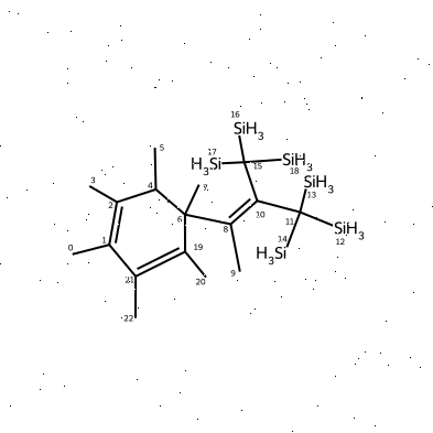 CC1=C(C)C(C)C(C)(C(C)=C(C([SiH3])([SiH3])[SiH3])C([SiH3])([SiH3])[SiH3])C(C)=C1C